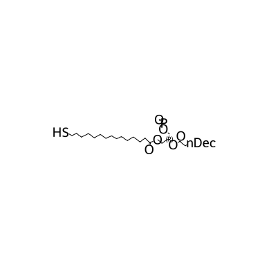 CCCCCCCCCCCC(=O)O[C@@H](COP=O)COC(=O)CCCCCCCCCCCCCCS